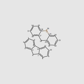 c1ccc2c(c1)Cc1ccccc1-2.c1ccc2c(c1)Cc1ccccc1S2